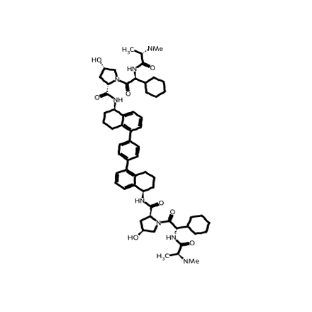 CN[C@@H](C)C(=O)N[C@H](C(=O)N1C[C@@H](O)C[C@H]1C(=O)N[C@@H]1CCCc2c(-c3ccc(-c4cccc5c4CCC[C@H]5NC(=O)[C@@H]4C[C@H](O)CN4C(=O)[C@@H](NC(=O)[C@H](C)NC)C4CCCCC4)cc3)cccc21)C1CCCCC1